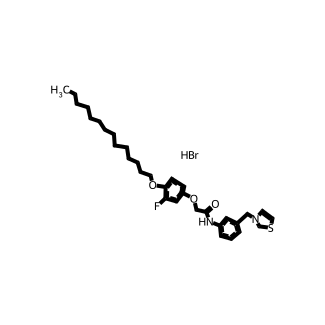 Br.CCCCCCCCCCCCCCOc1ccc(OCC(=O)Nc2cccc(CN3C=CSC3)c2)cc1F